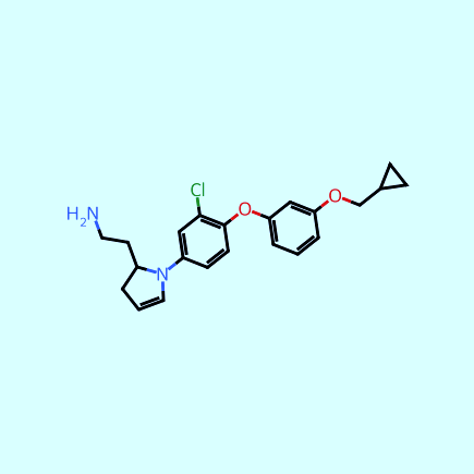 NCCC1CC=CN1c1ccc(Oc2cccc(OCC3CC3)c2)c(Cl)c1